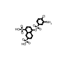 Nc1cc(S(=O)(=O)Oc2ccc(S(=O)(=O)O)c3cc(S(=O)(=O)O)ccc23)ccc1Cl